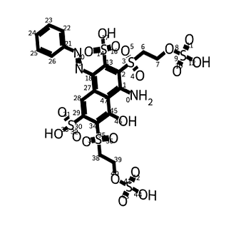 Nc1c(S(=O)(=O)CCOS(=O)(=O)O)c(S(=O)(=O)O)c(N=Nc2ccccc2)c2cc(S(=O)(=O)O)c(S(=O)(=O)CCOS(=O)(=O)O)c(O)c12